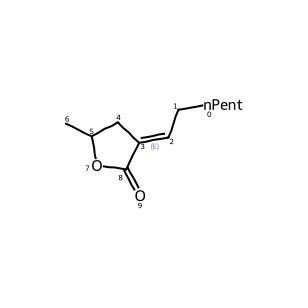 CCCCCC/C=C1\CC(C)OC1=O